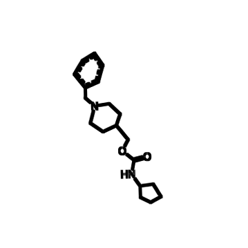 O=C(NC1CCCC1)OCC1CCN(Cc2ccccc2)CC1